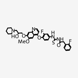 COc1cc2c(Oc3ccc(NC(=S)NC(=O)Cc4ccccc4F)cc3F)ccnc2cc1OCC(O)CN1CCCCC1